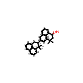 CC1(C)CC(O)c2cccc3cc(C4Cc5cccc6cccc(c56)C4(C)C)cc1c23